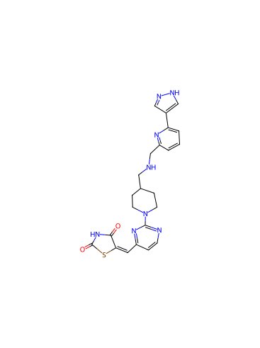 O=C1NC(=O)/C(=C\c2ccnc(N3CCC(CNCc4cccc(-c5cn[nH]c5)n4)CC3)n2)S1